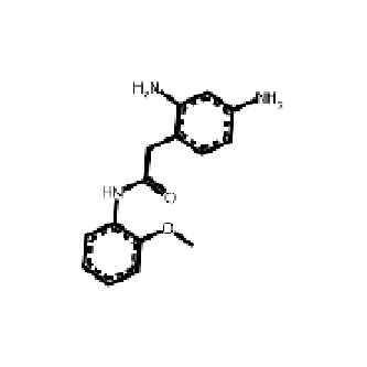 COc1ccccc1NC(=O)Cc1ccc(N)cc1N